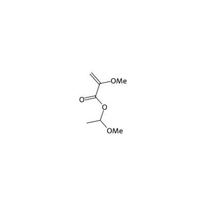 C=C(OC)C(=O)OC(C)OC